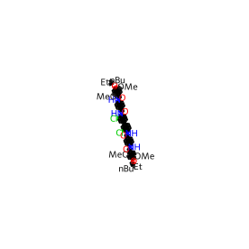 CCCCC(CC)COc1cc(OC)c(C(=O)Nc2ccc(C(=O)Nc3ccc(-c4ccc(NC(=O)c5ccc(NC(=O)c6cc(OC)c(OCC(CC)CCCC)cc6OC)cc5)c(Cl)c4)cc3Cl)cc2)cc1OC